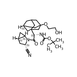 CC(C)(C)OC(=O)N[C@H](C(=O)N1[C@H](C#N)C[C@@H]2C[C@@H]21)C12CC3C[C@H](CC(OCCO)(C3)C1)C2